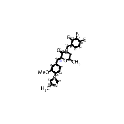 COc1cc(/C=C2\O[C@H](C)CN(Cc3ccc(F)c(F)c3F)C2=O)ccc1-n1cnc(C)c1